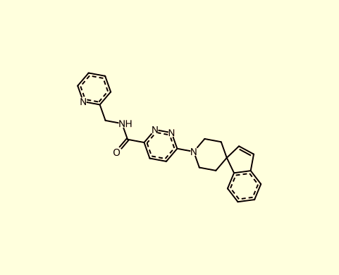 O=C(NCc1ccccn1)c1ccc(N2CCC3(C=Cc4ccccc43)CC2)nn1